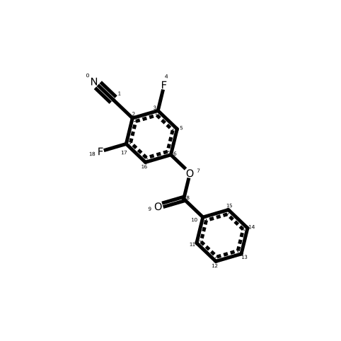 N#Cc1c(F)cc(OC(=O)c2ccccc2)cc1F